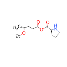 C=C(CCC(=O)OC(=O)C1CCCN1)OCC